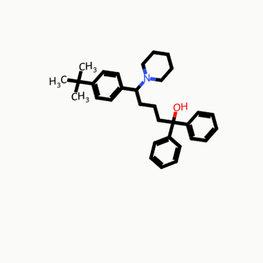 CC(C)(C)c1ccc(C(CCCC(O)(c2ccccc2)c2ccccc2)N2CCCCC2)cc1